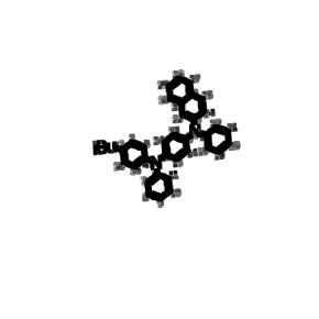 CCC(C)c1ccc(N(c2ccccc2)c2ccc(N(c3ccccc3)c3ccc4ccccc4c3)cc2)cc1